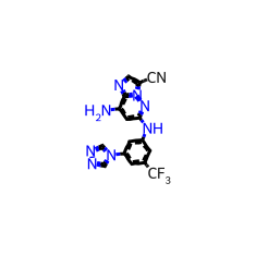 N#Cc1cnc2c(N)cc(Nc3cc(-n4cnnc4)cc(C(F)(F)F)c3)nn12